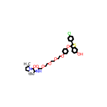 C[C@@H]1CCCN1C(=O)C(NC(=O)COCCOCCOCCOc1ccc(Oc2c(-c3ccc(Cl)cc3)sc3cc(O)ccc23)cc1)C(C)(C)C